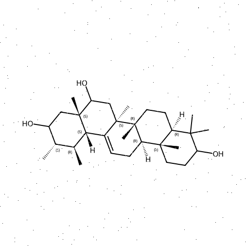 C[C@H]1[C@H](C)C(O)C[C@]2(C)C(O)C[C@]3(C)C(=CC[C@@H]4[C@@]5(C)CCC(O)C(C)(C)[C@@H]5CC[C@]43C)[C@H]12